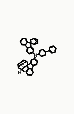 C[C@H]1C2CCC3CC(C2)CC1C31c2ccccc2-c2ccc(N(c3ccc(-c4ccccc4)cc3)c3ccc4c(c3)C3(CC5CCC3C5)c3ccccc3-4)cc21